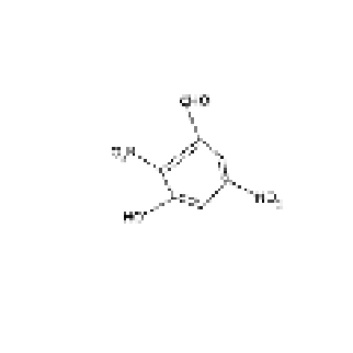 O=Cc1cc([N+](=O)[O-])cc(O)c1[N+](=O)[O-]